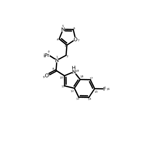 CC(C)N(Cc1cnco1)C(=O)c1cc2ccc(F)cc2[nH]1